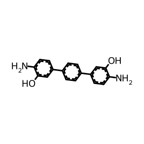 Nc1ccc(-c2ccc(-c3ccc(N)c(O)c3)cc2)cc1O